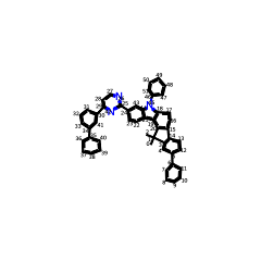 CC1(C)c2cc(-c3ccccc3)ccc2-c2ccc3c(c21)c1ccc(-c2nccc(-c4cccc(-c5ccccc5)c4)n2)cc1n3-c1ccccc1